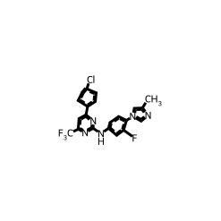 Cc1cn(-c2ccc(Nc3nc(-c4ccc(Cl)cc4)cc(C(F)(F)F)n3)cc2F)cn1